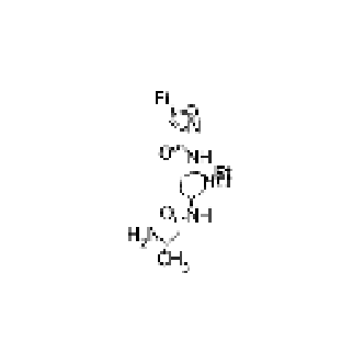 CCc1cc(C(=O)N[C@H]2CC[C@H](NC(=O)CC(C)N)C[C@H]2CC)no1.Cl